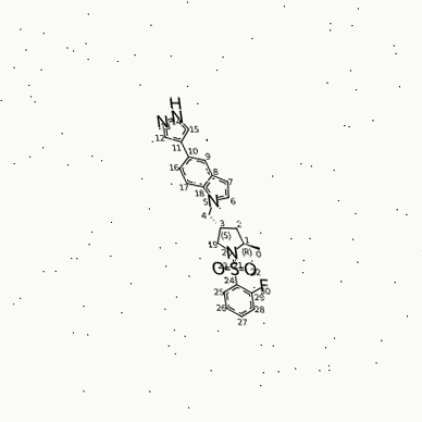 C[C@@H]1C[C@@H](Cn2ccc3cc(-c4cn[nH]c4)ccc32)CN1S(=O)(=O)c1ccccc1F